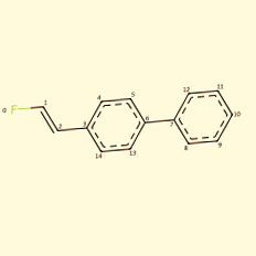 FC=Cc1ccc(-c2ccccc2)cc1